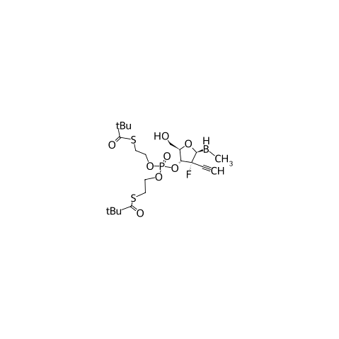 C#C[C@]1(F)[C@H](BC)O[C@H](CO)[C@H]1OP(=O)(OCCSC(=O)C(C)(C)C)OCCSC(=O)C(C)(C)C